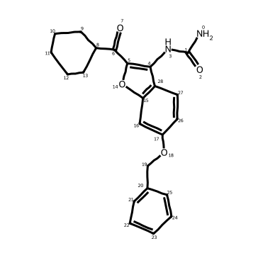 NC(=O)Nc1c(C(=O)C2CCCCC2)oc2cc(OCc3ccccc3)ccc12